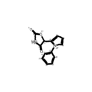 O=C1NC(=O)C(c2cccn2-c2ccccc2)O1